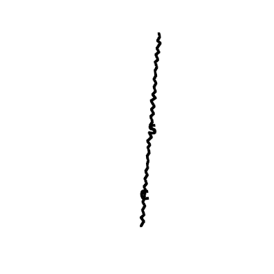 CCCCCCCCCCCCCCCCCCCCCCCCCSCCCCCCCCCCCCCCCCCCCCCCCCC